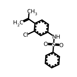 C=C(C)c1ccc(NS(=O)(=O)c2ccccc2)cc1Cl